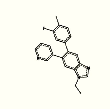 CCn1cnc2cc(-c3ccc(C)c(F)c3)c(-c3cccnc3)cc21